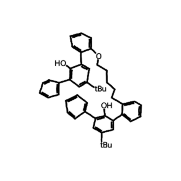 CC(C)(C)c1cc(-c2ccccc2)c(O)c(-c2ccccc2CCCCCOc2ccccc2-c2cc(C(C)(C)C)cc(-c3ccccc3)c2O)c1